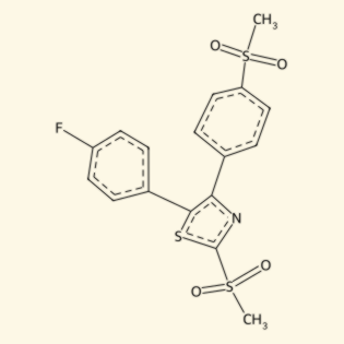 CS(=O)(=O)c1ccc(-c2nc(S(C)(=O)=O)sc2-c2ccc(F)cc2)cc1